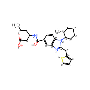 CCCC(CC(=O)O)NC(=O)c1ccc2c(c1)nc(Cc1cccs1)n2C1CCCC[C@H]1C